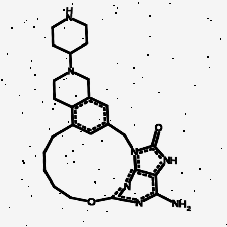 Nc1nc2nc3c1[nH]c(=O)n3Cc1cc(c3c(c1)CN(C1CCNCC1)CC3)CCCCCO2